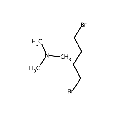 BrCCCCBr.CN(C)C